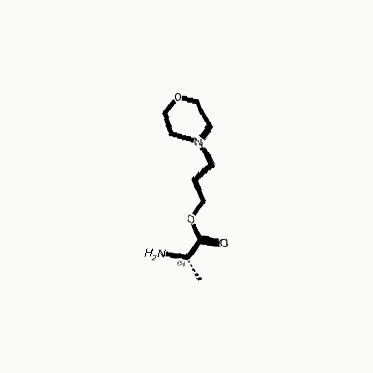 C[C@H](N)C(=O)OCCCN1CCOCC1